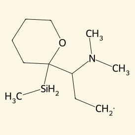 [CH2]CC(N(C)C)C1([SiH2]C)CCCCO1